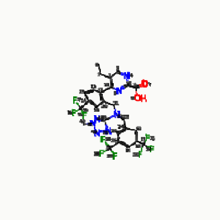 CCc1cnc(C(=O)O)nc1-c1ccc(C(F)(F)F)cc1CN(Cc1cc(C(F)(F)F)cc(C(F)(F)F)c1)c1nnn(C)n1